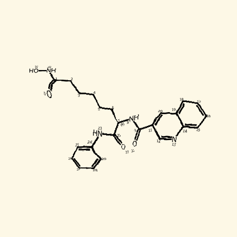 O=C(CCCCC[C@@H](NC(=O)c1cnc2ccccc2c1)C(=O)Nc1ccccc1)NO